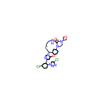 O=C1NCCCCCC(n2cnc(-c3cc(Cl)ccc3-n3cc(Cl)nn3)cc2=O)c2cccc(c2)N2CCN(C3COC3)C[C@H]12